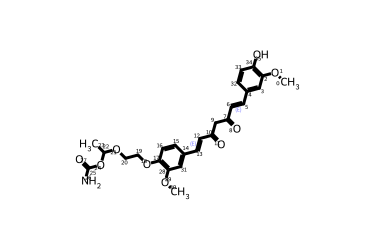 COc1cc(/C=C/C(=O)CC(=O)/C=C/c2ccc(OCCOC(C)OC(N)=O)c(OC)c2)ccc1O